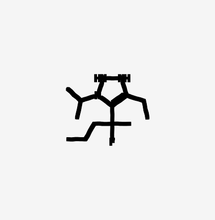 CCCC(C)(F)C1=C(CC)NNN1C(C)C